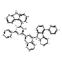 c1ccc(-c2nc(-c3cc(-n4c5ccccc5c5c(-c6ccccc6)cccc54)c4ccccc4c3)nc(-c3cccc4oc5ccccc5c34)n2)cc1